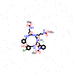 CN1C(=O)[C@H](CCCCNC(=O)OC(C)(C)C)NC(=O)[C@H](CCCNC(=O)OC(C)(C)C)NCc2ccccc2Sc2c(ccc(Br)c2O)CNC(=O)[C@@H]1Cc1cn(C(=O)OC(C)(C)C)c2ccccc12